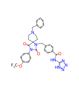 O=C(Nc1nnn[nH]1)c1ccc(CN2C(=O)N(c3ccc(OC(F)(F)F)cc3)C(=O)C23CCN(Cc2ccccc2)CC3)cc1